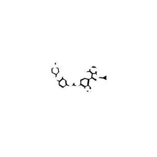 CN1CCC(Oc2ccc(NC(=O)Nc3ccc(-c4cn(C5CC5)c5ncnc(N)c45)c4cnoc34)cc2C(F)(F)F)CC1